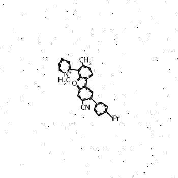 Cc1ccc2c(oc3cc(C#N)c(-c4ccc(C(C)C)cc4)cc32)c1-c1cccc[n+]1C